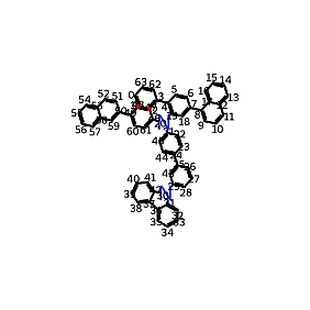 c1ccc(-c2ccc(-c3cccc4ccccc34)cc2N(c2ccc(-c3cccc(-n4c5ccccc5c5ccccc54)c3)cc2)c2ccc(-c3ccc4ccccc4c3)cc2)cc1